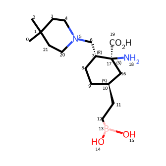 CC1(C)CCN(C[C@H]2CC[C@H](CCB(O)O)C[C@@]2(N)C(=O)O)CC1